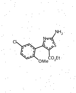 CCOC(=O)c1sc(N)nc1-c1cc(Cl)ccc1OC